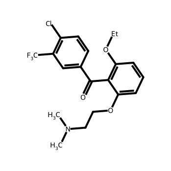 CCOc1cccc(OCCN(C)C)c1C(=O)c1ccc(Cl)c(C(F)(F)F)c1